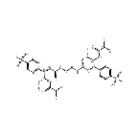 CS(=O)(=O)c1ccc([C@@H](OC(=O)OCCOC(=O)O[C@H](c2ccc(S(C)(=O)=O)cc2)[C@@H](CF)NC(=O)C(Cl)Cl)[C@@H](CF)NC(=O)C(Cl)Cl)cc1